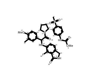 COC(=O)Nc1ccc(S(C)(=O)=O)c([C@H]2CCCN2C(=O)C(Nc2ccc3c(c2F)C(=O)NC3)c2ccc(OC)c(C)c2)c1